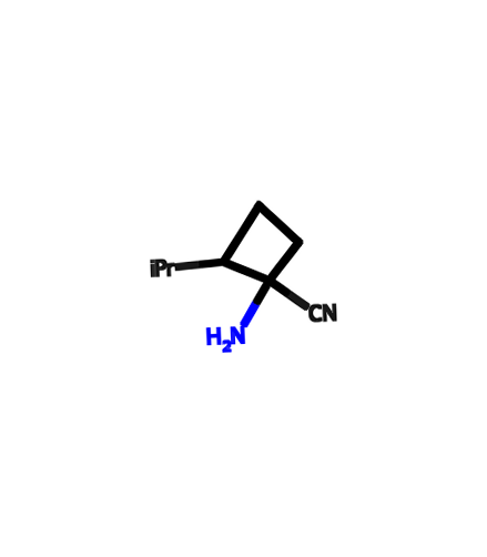 CC(C)C1CCC1(N)C#N